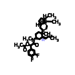 CC/C=C1/C[C@@H](N(C)C(=O)C(OC(C)=O)c2ccc(F)c(F)c2)CC[C@]1(C)[C@H]1CC[C@]23CN(C)[C@@H](C)[C@H]2CC[C@H]3C1